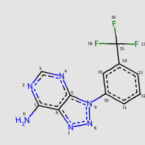 Nc1ncnc2c1nnn2-c1cccc(C(F)(F)F)c1